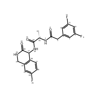 C[C@H](NC(=O)Cc1cc(F)cc(F)c1)C(=O)NC1C(=O)NCc2cc(F)ccc21